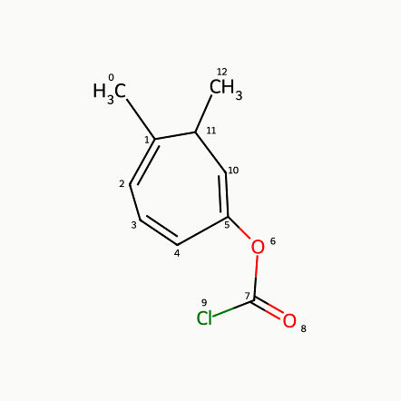 CC1=CC=CC(OC(=O)Cl)=CC1C